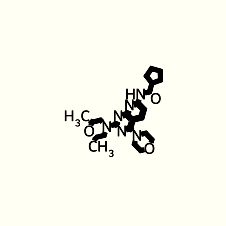 CC1CN(c2nc(N3CCOCC3)c3ccc(NC(=O)C4CCCC4)nc3n2)CC(C)O1